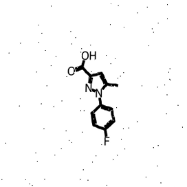 Cc1cc(C(=O)O)nn1-c1ccc(F)cc1